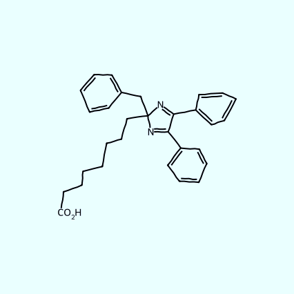 O=C(O)CCCCCCCC1(Cc2ccccc2)N=C(c2ccccc2)C(c2ccccc2)=N1